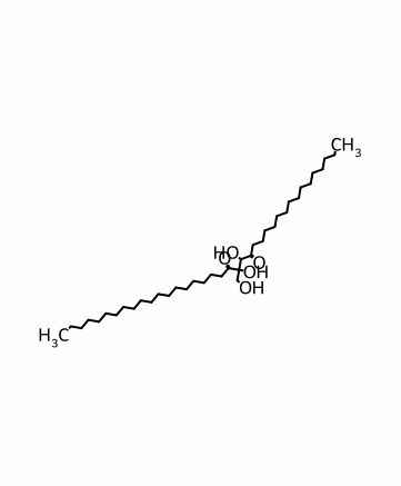 CCCCCCCCCCCCCCCCCCCC(=O)C(O)(CO)C(O)C(=O)CCCCCCCCCCCCCCC